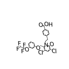 O=C(O)c1ccc(CCn2c(COc3cccc(OC(F)(F)C(F)F)c3)c(Cl)cc(Cl)c2=O)cc1